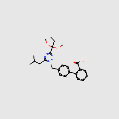 CCC(OC)(OC)c1nc(CC(C)C)n(Cc2ccc(-c3ccccc3C(=O)O)cc2)n1